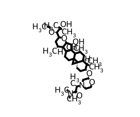 CCO[C@@H](C1C[C@@H](C)[C@H]2C(O1)[C@H](O)[C@@]1(C)C3CC[C@H]4C(C)(C)[C@@H](O[C@H]5CN([C@@H](C)C(=O)N(C)C)CCO5)CC[C@@]45CC35CC[C@]21C)C(C)(C)O